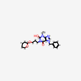 CC(C)N1c2ncn(Cc3ccccc3)c2C(=O)N(CCCOC2CCCCO2)C1O